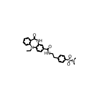 CCN1c2ccc(C(=O)NCCc3ccc(S(=O)(=O)N(C)C)cc3)cc2NC(=O)c2ccccc21